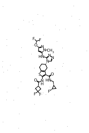 Cn1nc(OC(F)F)cc1Nc1nncn1[C@H]1CCc2sc(NC(=O)C3CC(F)(F)C3)c(C(=O)NC[C@H]3C[C@H]3F)c2C1